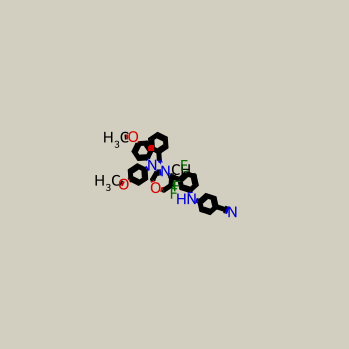 COc1ccc([N+](Cc2ccccc2)(C2=N[C@](C)(c3cc(Nc4ccc(C#N)cc4)ccc3F)C(F)(F)COC2)c2ccc(OC)cc2)cc1